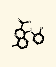 CCCC(=O)c1cnc2c(C)cccc2c1Nc1ccccc1CC